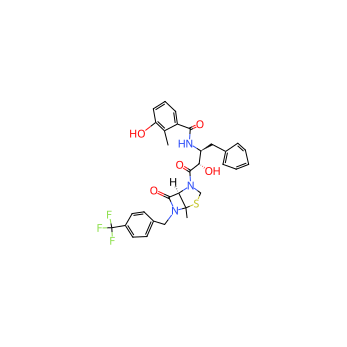 Cc1c(O)cccc1C(=O)N[C@@H](Cc1ccccc1)[C@H](O)C(=O)N1CSC2(C)[C@H]1C(=O)N2Cc1ccc(C(F)(F)F)cc1